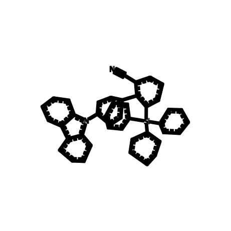 N#Cc1cccc([Si](c2ccccc2)(c2ccccc2)c2ccccc2)c1-c1ccc(-n2c3ccccc3c3ccccc32)cc1